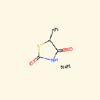 CCCC1SC(=O)NC1=O.[NaH]